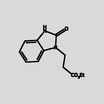 CCOC(=O)CCn1c(=O)[nH]c2ccccc21